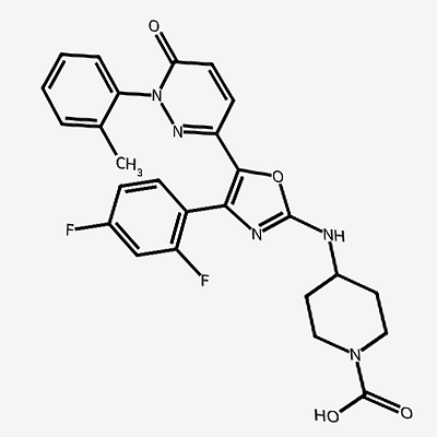 Cc1ccccc1-n1nc(-c2oc(NC3CCN(C(=O)O)CC3)nc2-c2ccc(F)cc2F)ccc1=O